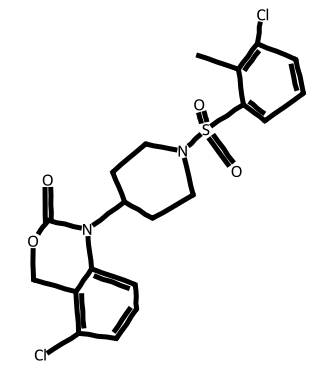 Cc1c(Cl)cccc1S(=O)(=O)N1CCC(N2C(=O)OCc3c(Cl)cccc32)CC1